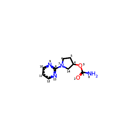 NC(=O)OC1CCN(c2ncccn2)C1